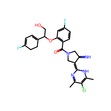 CC1=N/C(=C2\CN(C(=O)c3ccc(F)cc3OC(CO)C3=CC=C(F)CC3)CC2=N)NC(C)=C1Cl